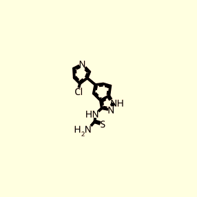 NC(=S)Nc1n[nH]c2ccc(-c3cnccc3Cl)cc12